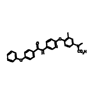 Cc1cc(N(C)C(=O)O)ccc1Oc1ccc(NC(=O)c2ccc(Oc3ccccc3)cc2)cn1